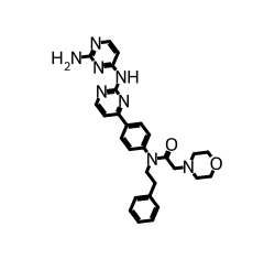 Nc1nccc(Nc2nccc(-c3ccc(N(CCc4ccccc4)C(=O)CN4CCOCC4)cc3)n2)n1